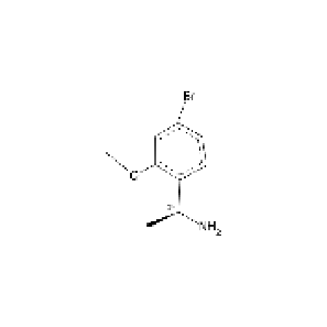 COc1cc(Br)ccc1[C@H](C)N